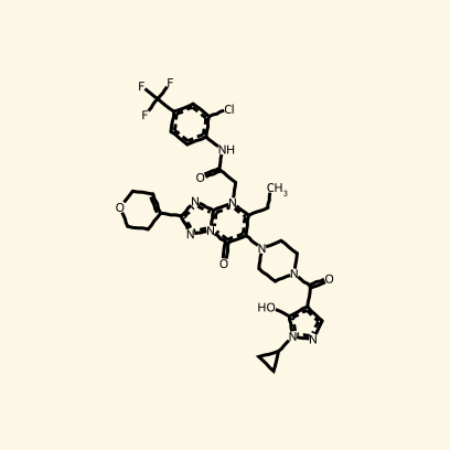 CCc1c(N2CCN(C(=O)c3cnn(C4CC4)c3O)CC2)c(=O)n2nc(C3=CCOCC3)nc2n1CC(=O)Nc1ccc(C(F)(F)F)cc1Cl